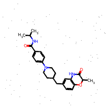 CC(C)NC(=O)c1ccc(N2CCC(Cc3ccc4c(c3)NC(=O)C(C)O4)CC2)cc1